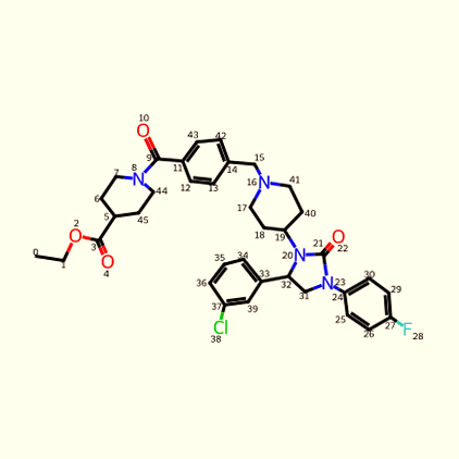 CCOC(=O)C1CCN(C(=O)c2ccc(CN3CCC(N4C(=O)N(c5ccc(F)cc5)CC4c4cccc(Cl)c4)CC3)cc2)CC1